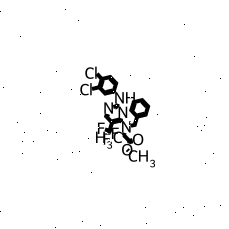 COC(=O)C(C)N(Cc1ccccc1)c1nc(Nc2ccc(Cl)c(Cl)c2)ncc1C(F)(F)F